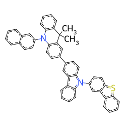 CC1(C)c2ccccc2N(c2ccc3ccccc3c2)c2ccc(-c3ccc4c(c3)c3ccccc3n4-c3ccc4sc5ccccc5c4c3)cc21